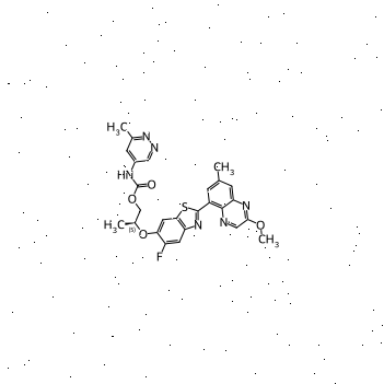 COc1cnc2c(-c3nc4cc(F)c(O[C@@H](C)COC(=O)Nc5cnnc(C)c5)cc4s3)cc(C)cc2n1